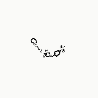 CS(=O)(=O)c1ccc(CN2C[C@@H]3[C@H](COCCCN4CCCCC4)[C@@H]3C2)cc1